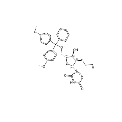 C=CCO[C@@H]1[C@H](O)[C@@H](COC(c2ccccc2)(c2ccc(OC)cc2)c2ccc(OC)cc2)O[C@H]1n1ccc(=O)[nH]c1=O